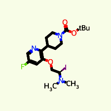 CN(C)[C@H](I)COc1cc(F)cnc1C1CCN(C(=O)OC(C)(C)C)CC1